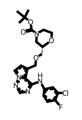 CC(C)(C)OC(=O)N1CCO[C@H](COCc2ccn3ncnc(Nc4ccc(F)c(Cl)c4)c23)C1